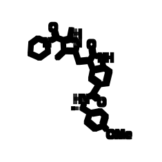 COc1ccc([C@H](C)NC(=O)c2ccc3c(c2)C(=Cc2[nH]c(C)c(C(=O)N4CCCCC4)c2C)C(=O)N3)cc1